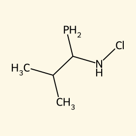 CC(C)C(P)NCl